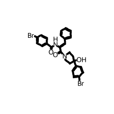 O=C(NC(=Cc1ccccc1)C(=O)N1CCC(O)(c2ccc(Br)cc2)CC1)c1ccc(Br)cc1